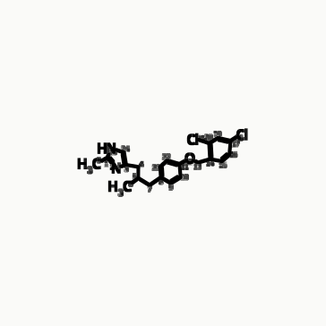 Cc1nc(CC(C)Cc2ccc(OCc3ccc(Cl)cc3Cl)cc2)c[nH]1